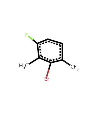 Cc1c(F)ccc(C(F)(F)F)c1Br